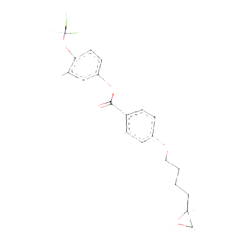 O=C(Oc1ccc(OC(F)(F)F)c(F)c1)c1ccc(OCCCCC2CO2)cc1